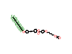 CC1(COCCCCCCOc2ccc(C(=O)Oc3ccc(C#Cc4ccc(OC(F)(F)C(F)(F)C(F)(F)C(F)(F)C(F)(F)C(F)(F)C(F)(F)C(F)(F)C(F)(F)C(F)(F)C(F)(F)F)cc4)cc3)cc2)COC1